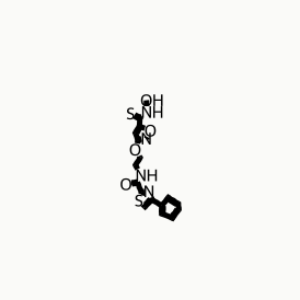 O=C(NCCOc1cc(C(=S)NO)on1)c1nc(-c2ccccc2)cs1